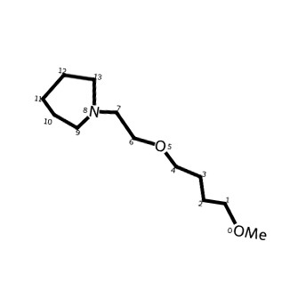 COCCCCOCCN1CCCCC1